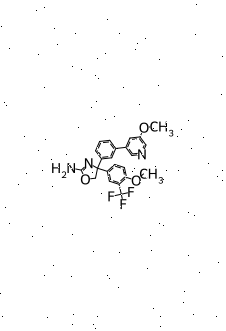 COc1cncc(-c2cccc(C3(c4ccc(OC)c(C(F)(F)F)c4)COC(N)=N3)c2)c1